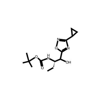 CC[C@H](NC(=O)OC(C)(C)C)C(O)c1nc(C2CC2)no1